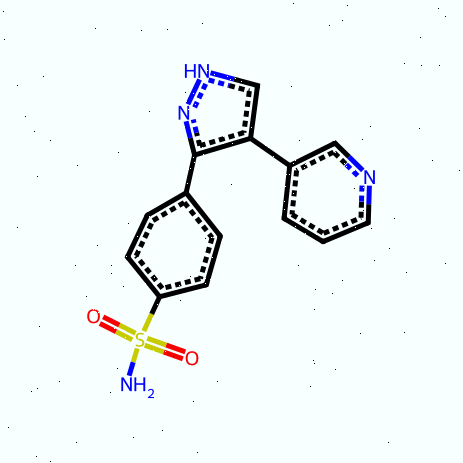 NS(=O)(=O)c1ccc(-c2n[nH]cc2-c2cccnc2)cc1